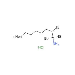 CCCCCCCCCCCCCCC(CC)C(N)(CC)CC.Cl